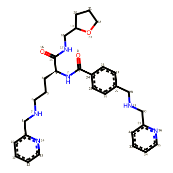 O=C(N[C@@H](CCCNCc1ccccn1)C(=O)NCC1CCCO1)c1ccc(CNCc2ccccn2)cc1